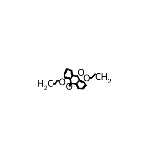 C=CCOc1cccc2c1C(=O)c1cccc(OCC=C)c1C2=O